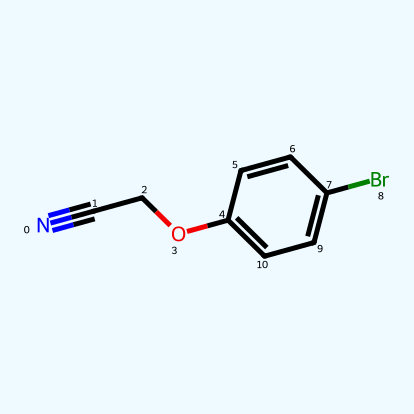 N#CCOc1ccc(Br)cc1